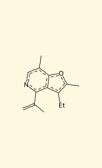 C=C(C)c1ncc(C)c2oc(C)c(CC)c12